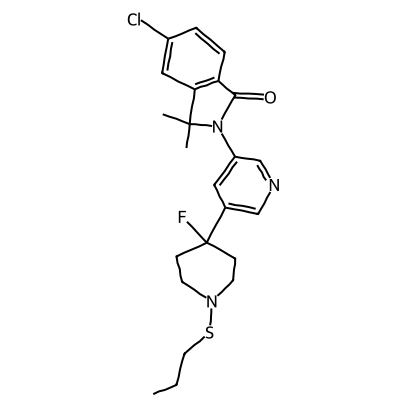 CCCSN1CCC(F)(c2cncc(N3C(=O)c4ccc(Cl)cc4C3(C)C)c2)CC1